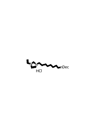 C=CN1C=CN(CCCCCCCCCCCCCCCCCC)C1.Cl